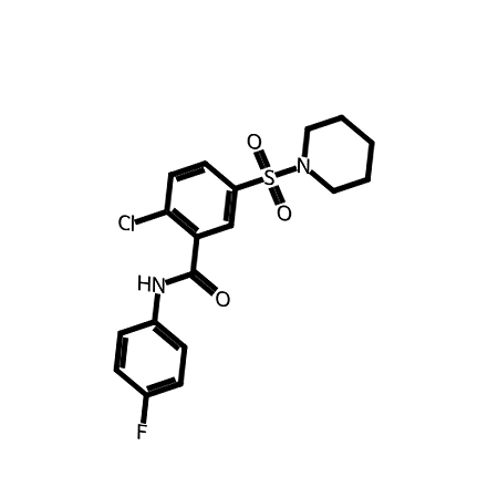 O=C(Nc1ccc(F)cc1)c1cc(S(=O)(=O)N2CCCCC2)ccc1Cl